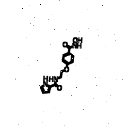 O=C(NO)c1ccc(OCCNC(=O)c2ccc[nH]2)cc1